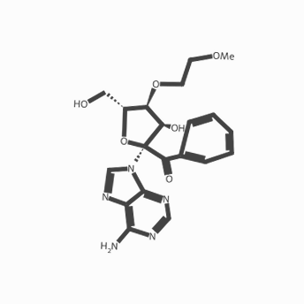 COCCO[C@H]1[C@@H](O)[C@](C(=O)c2ccccc2)(n2cnc3c(N)ncnc32)O[C@@H]1CO